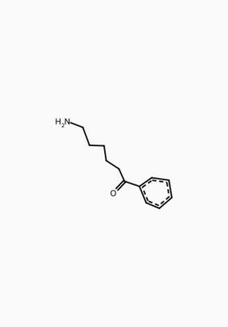 NCCCCCC(=O)c1ccccc1